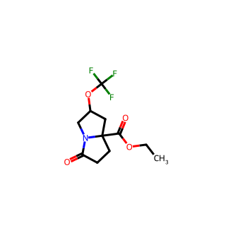 CCOC(=O)C12CCC(=O)N1CC(OC(F)(F)F)C2